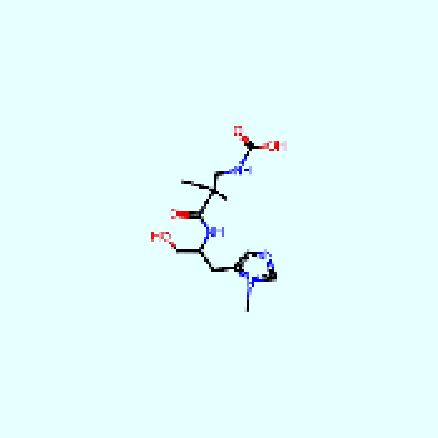 Cn1cncc1CC(CO)NC(=O)C(C)(C)CNC(=O)O